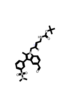 Cc1c(-c2cccc(S(=O)(=O)N(C)C)c2)c2cc(C=O)ccc2n1C/C(F)=C/CNC(=O)OC(C)(C)C